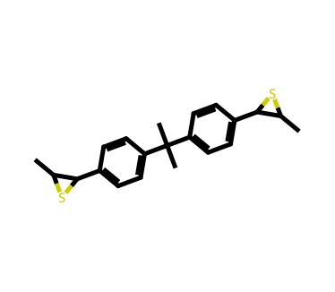 CC1SC1c1ccc(C(C)(C)c2ccc(C3SC3C)cc2)cc1